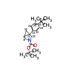 CC(C)(C)OC(=O)N1CC2CC2(c2ccc(C(C)(C)C)cc2)C1